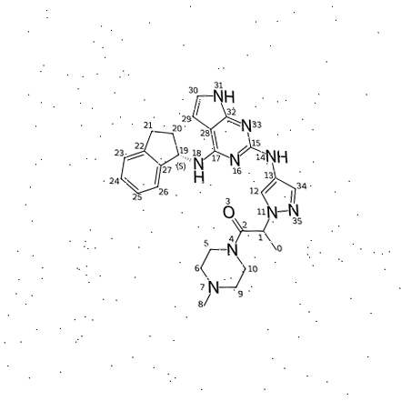 CC(C(=O)N1CCN(C)CC1)n1cc(Nc2nc(N[C@H]3CCc4ccccc43)c3cc[nH]c3n2)cn1